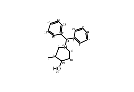 CC1CN(C(c2ccccc2)c2ccccc2)CCC1O